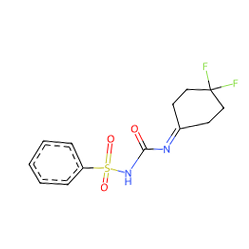 O=C(N=C1CCC(F)(F)CC1)NS(=O)(=O)c1ccccc1